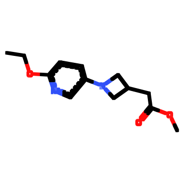 CCOc1ccc(N2CC(CC(=O)OC)C2)cn1